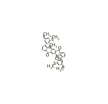 CSc1cc(SC)cc(-c2cccc3c(=O)c4cc5c(cc4n(C)c23)c(=O)c2cccc(-c3cc(SC)cc(SC)c3)c2n5C)c1